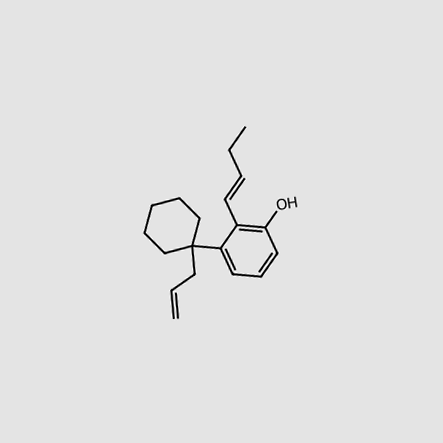 C=CCC1(c2cccc(O)c2C=CCC)CCCCC1